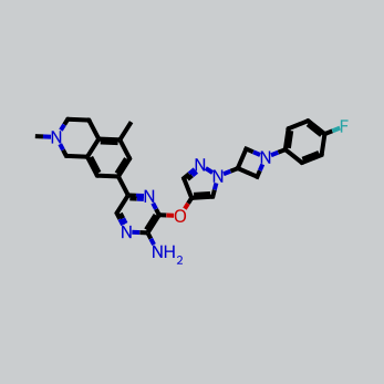 Cc1cc(-c2cnc(N)c(Oc3cnn(C4CN(c5ccc(F)cc5)C4)c3)n2)cc2c1CCN(C)C2